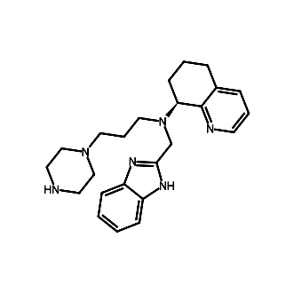 c1cnc2c(c1)CCC[C@@H]2N(CCCN1CCNCC1)Cc1nc2ccccc2[nH]1